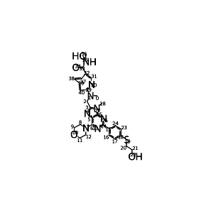 CN(Cc1nc2c(N3CCOCC3)nc(-c3ccc(SCCO)cc3)nc2n1C)C1=N/C=C(C(=O)NO)\C=C\C=C\1